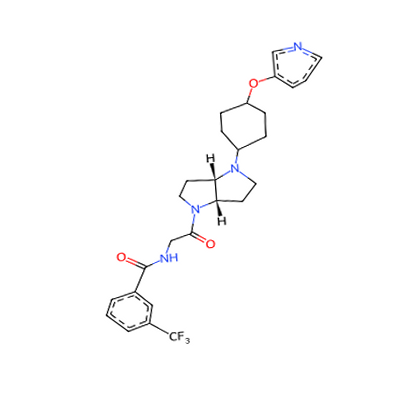 O=C(NCC(=O)N1CC[C@H]2[C@@H]1CCN2C1CCC(Oc2cccnc2)CC1)c1cccc(C(F)(F)F)c1